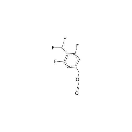 O=COCc1cc(F)c(C(F)F)c(F)c1